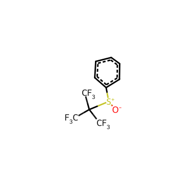 [O-][S+](c1ccccc1)C(C(F)(F)F)(C(F)(F)F)C(F)(F)F